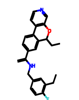 C=C(NCc1ccc(F)c(CC)c1)c1ccc2c(c1)C(CC)Oc1cnccc1-2